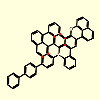 c1ccc(-c2ccc(-c3ccc(N(c4ccccc4-c4ccc5c(c4)-c4cccc6cccc(c46)O5)c4ccccc4-c4cccc5cccc(-c6ccccc6)c45)cc3)cc2)cc1